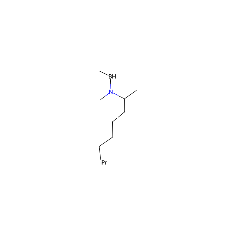 CBN(C)C(C)CCCCC(C)C